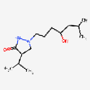 [CH2]C(C)C1CN(CCCC(O)CC(C)C)NC1=O